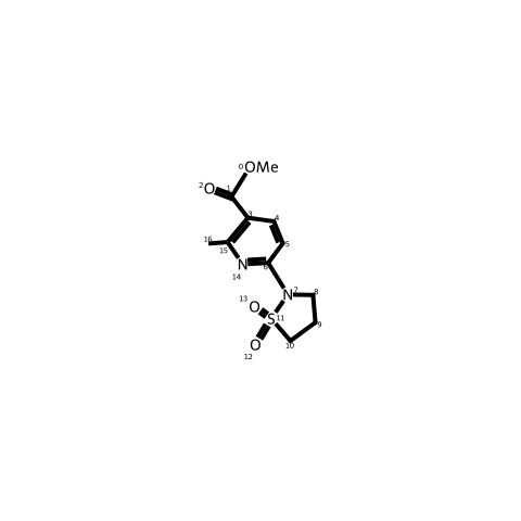 COC(=O)c1ccc(N2CCCS2(=O)=O)nc1C